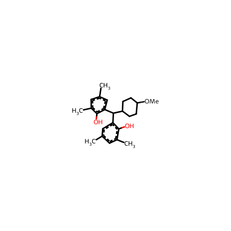 COC1CCC(C(c2cc(C)cc(C)c2O)c2cc(C)cc(C)c2O)CC1